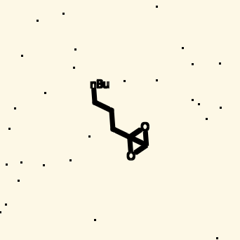 CCCCCCCC12OC1O2